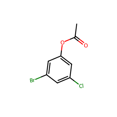 CC(=O)Oc1cc(Cl)cc(Br)c1